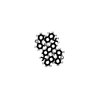 CC(C)(C)c1ccc2c(N(c3ccc4ccccc4c3)c3cccc4oc5ccccc5c34)c3cc(C(C)(C)C)ccc3c(N(c3ccc4ccccc4c3)c3cccc4oc5ccccc5c34)c2c1